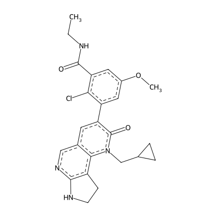 CCNC(=O)c1cc(OC)cc(-c2cc3cnc4c(c3n(CC3CC3)c2=O)CCN4)c1Cl